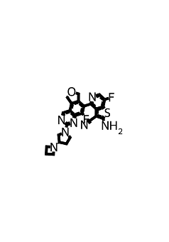 N#Cc1c(N)sc2c(F)cnc(-c3c4c(c5cnc(N6CC[C@H](N7CCC7)C6)nc5c3F)COC4)c12